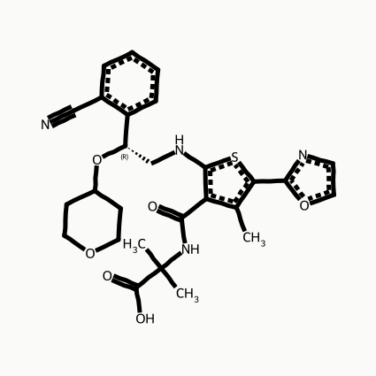 Cc1c(-c2ncco2)sc(NC[C@H](OC2CCOCC2)c2ccccc2C#N)c1C(=O)NC(C)(C)C(=O)O